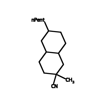 CCCCCC1CCC2CC(C)(C#N)CCC2C1